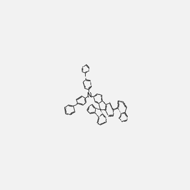 c1ccc(-c2ccc(N(c3ccc(-c4ccccc4)cc3)c3ccc4c(c3)C3(c5ccccc5-c5ccccc53)c3ccc(-c5cccc6ccccc56)cc3-4)cc2)cc1